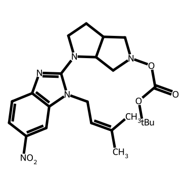 CC(C)=CCn1c(N2CCC3CN(OC(=O)OC(C)(C)C)CC32)nc2ccc([N+](=O)[O-])cc21